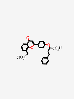 CCOC(=O)Cc1cccc2c(=O)cc(-c3ccc(OC(CCc4ccccc4)C(=O)O)cc3)oc12